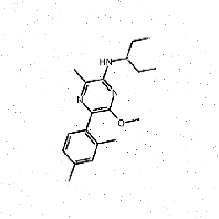 CCC(CC)Nc1nc(OC)c(-c2ccc(C)cc2C)nc1C